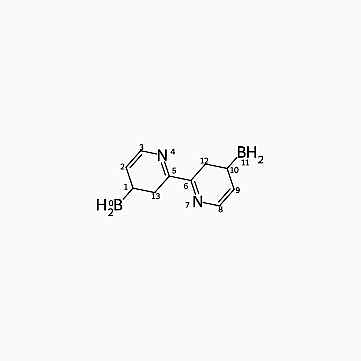 BC1C=CN=C(C2=NC=CC(B)C2)C1